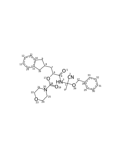 CC(C#N)(NC(=O)C(CC1Cc2ccccc2C1)OC(=O)N1CCOCC1)OCc1ccccc1